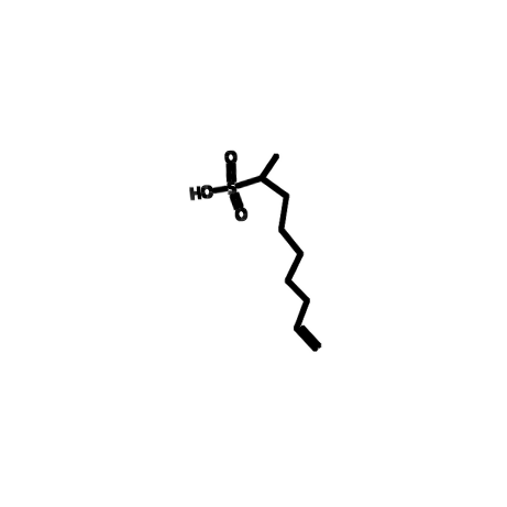 C=CCCCCCC(C)S(=O)(=O)O